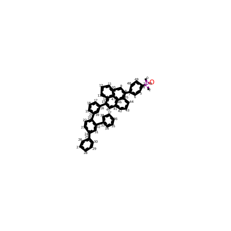 CP(C)(=O)c1ccc(-c2cc3cccc4c(-c5cccc(-c6ccc(-c7ccccc7)cc6-c6ccccc6)c5)cc5cccc2c5c34)cc1